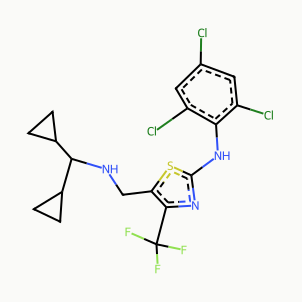 FC(F)(F)c1nc(Nc2c(Cl)cc(Cl)cc2Cl)sc1CNC(C1CC1)C1CC1